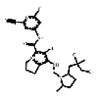 CC1CCC(CC(C)(O)CO)N1SNc1c(Cl)c(C(=O)Nc2cc(F)nc(C#N)c2)n2c1CCC2